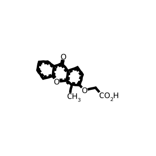 Cc1c(OCC(=O)O)ccc2c(=O)c3ccccc3oc12